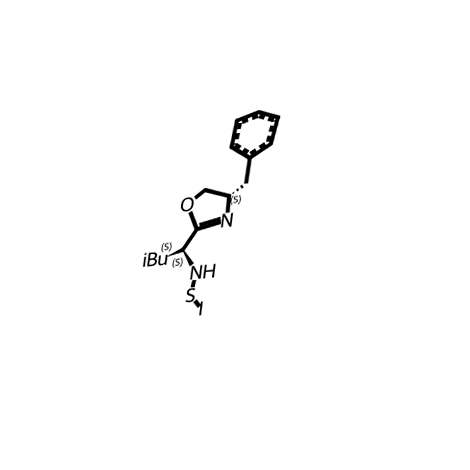 CC[C@H](C)[C@H](NSI)C1=N[C@@H](Cc2ccccc2)CO1